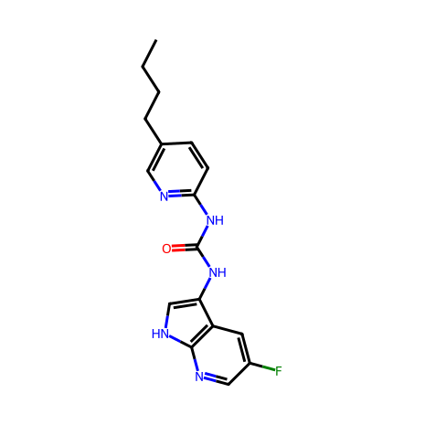 CCCCc1ccc(NC(=O)Nc2c[nH]c3ncc(F)cc23)nc1